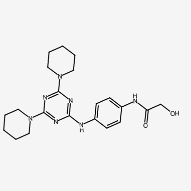 O=C(CO)Nc1ccc(Nc2nc(N3CCCCC3)nc(N3CCCCC3)n2)cc1